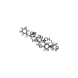 CN1C(=O)[C@@H](NC(=O)c2cc(Cc3ccccc3)on2)COc2ccc(N3CC4CC3CO4)cc21